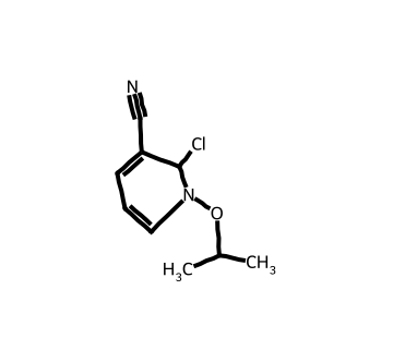 CC(C)ON1C=CC=C(C#N)C1Cl